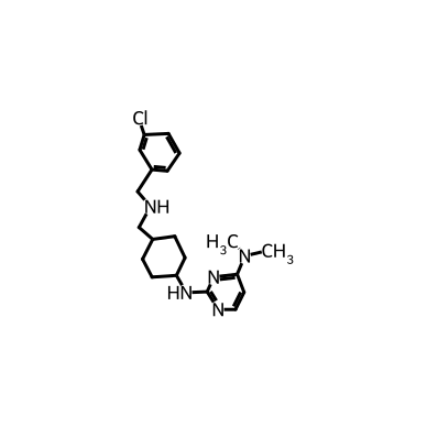 CN(C)c1ccnc(NC2CCC(CNCc3cccc(Cl)c3)CC2)n1